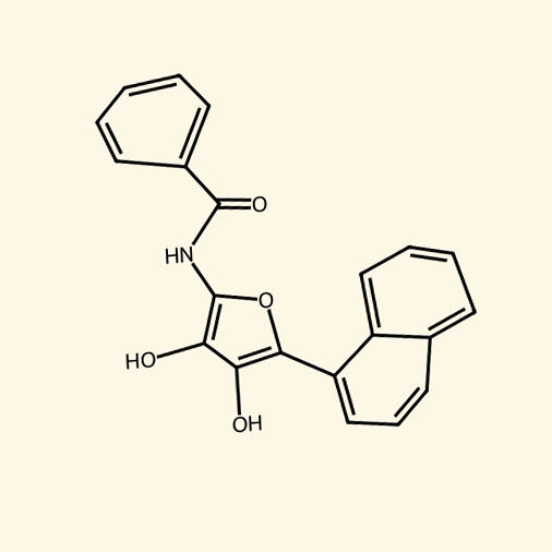 O=C(Nc1oc(-c2cccc3ccccc23)c(O)c1O)c1ccccc1